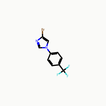 FC(F)(F)c1ccc(-n2cnc(Br)c2)cc1